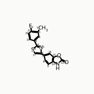 Cc1cc(-c2nc(-c3ccc4[nH]c(=O)oc4c3)cs2)ccc1F